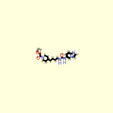 CC(C)OCC(=O)N1CCC(CCCCNC(=O)Nc2ccc3nccn3c2)CC1